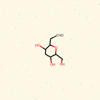 O=CCC1OC(CO)C(O)CC1O